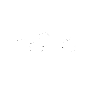 COC(=O)c1cccn(Cc2cccnc2)c1=O